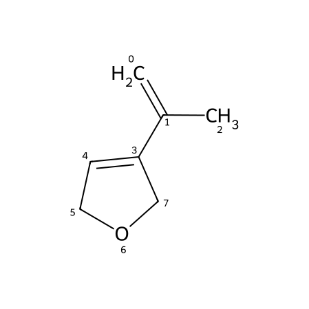 C=C(C)C1=CCOC1